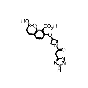 O=C(O)c1c(OC2CN(C(=O)Cc3nn[nH]n3)C2)ccc2c1OB(O)CC2